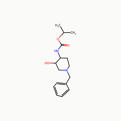 CC(C)OC(=O)NC1CCN(Cc2ccccc2)CC1O